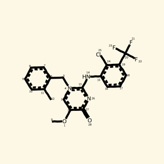 COc1cn(Cc2ccccc2C)c(Nc2cccc(C(F)(F)F)c2Cl)nc1=O